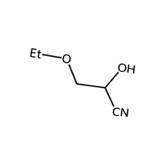 CCOCC(O)C#N